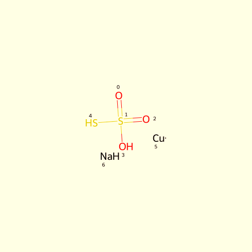 O=S(=O)(O)S.[Cu].[NaH]